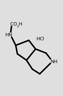 Cl.O=C(O)NC1CC2CCNCC2C1